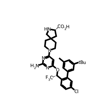 Cc1cc(-c2cc(Cl)ccc2[C@@H](Oc2cc(N3CCC4(CC3)CN[C@H](C(=O)O)C4)nc(N)n2)C(F)(F)F)cc(C(C)(C)C)c1